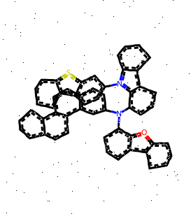 c1ccc2c(c1)ccc1c3cc(N(c4cccc5c4oc4ccccc45)c4cccc5c6ccccc6n(-c6ccc7c(c6)sc6ccccc67)c45)ccc3ccc21